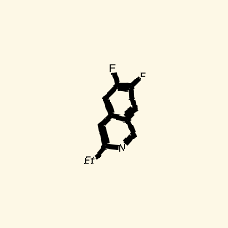 CCc1cc2cc(F)c(F)cc2cn1